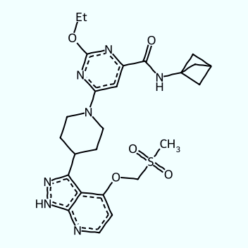 CCOc1nc(C(=O)NC23CC(C2)C3)cc(N2CCC(c3n[nH]c4nccc(OCS(C)(=O)=O)c34)CC2)n1